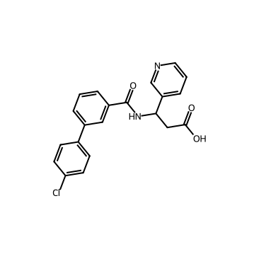 O=C(O)CC(NC(=O)c1cccc(-c2ccc(Cl)cc2)c1)c1cccnc1